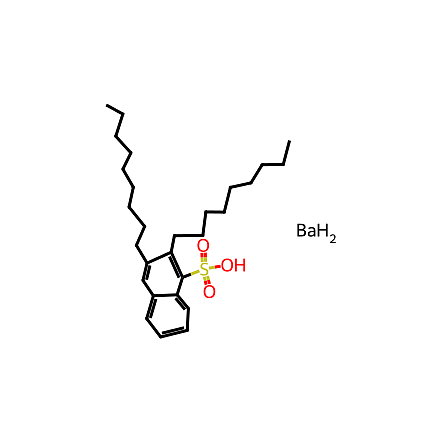 CCCCCCCCCc1cc2ccccc2c(S(=O)(=O)O)c1CCCCCCCCC.[BaH2]